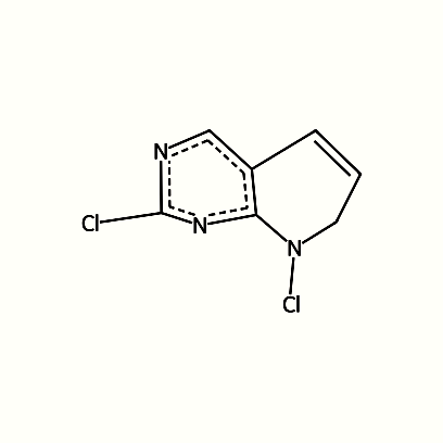 Clc1ncc2c(n1)N(Cl)CC=C2